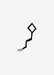 OC/C=C/C1CCC1